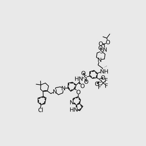 CC(C)OC(=O)N=S1(=O)CCN(C[C@H](C)Nc2ccc(S(=O)(=O)NC(=O)c3ccc(N4CCN(CC5=C(c6ccc(Cl)cc6)CC(C)(C)CC5)CC4)cc3Oc3cnc4[nH]ccc4c3)cc2S(=O)(=O)C(F)(F)F)CC1